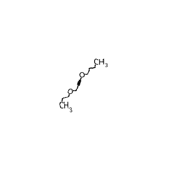 CCCCOC#CCOCCC